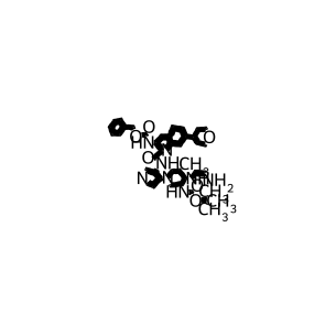 C[C@H]1CN(c2ccncc2NC(=O)c2nc3cc(C4=CCOCC4)ccc3cc2NC(=O)OCc2ccccc2)C[C@@H](NC(=O)OC(C)(C)C)[C@H]1N/C=C\N